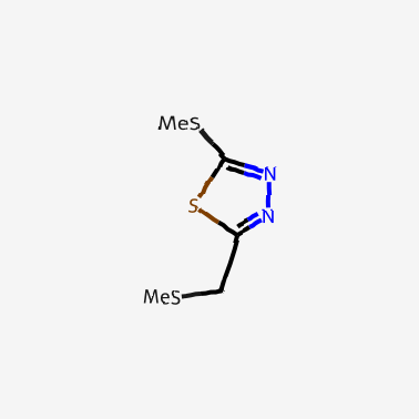 CSCc1nnc(SC)s1